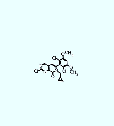 COc1cc(OC)c(Cl)c(-c2cc3cnc(Cl)nc3c(=O)n2CC2CC2)c1Cl